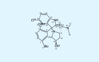 CCC(C)c1ccc(OC)c(C2(N3C[C@H](O)C[C@H]3C(=O)N(C)C)C(=O)Nc3ccc(Cl)cc32)c1